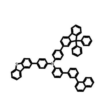 c1ccc(C2(c3ccccc3)c3ccccc3-c3ccc(-c4ccc(N(c5ccc(-c6ccc7sc8ccccc8c7c6)cc5)c5cccc(-c6cccc(-c7cccc8ccccc78)c6)c5)cc4)cc32)cc1